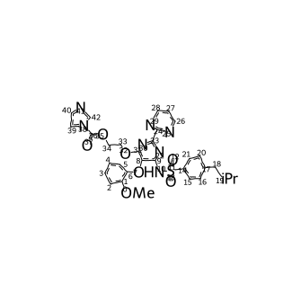 COc1ccccc1Oc1c(NS(=O)(=O)c2ccc(CC(C)C)cc2)nc(-c2ncccn2)nc1OCCOC(=O)n1ccnc1